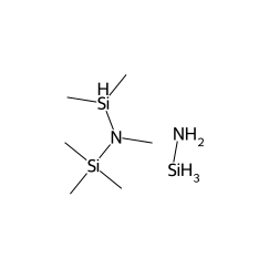 CN([SiH](C)C)[Si](C)(C)C.N[SiH3]